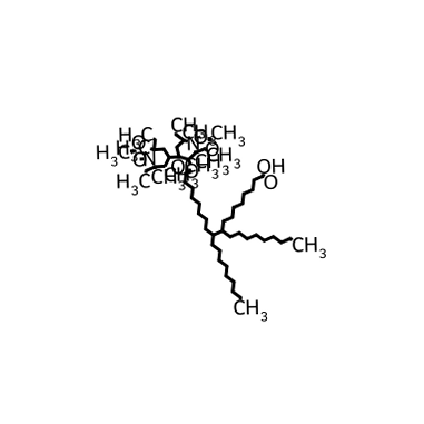 CCCCCCCCCC(CCCCCCCC(=O)O)C(CCCCCCCCC)CCCCCCCC(=O)OC1(C2CC(C)(CC)N(OC(C)=O)C(C)(CC)C2C)CC(C)(CC)N(OC(C)=O)C(C)(CC)C1C